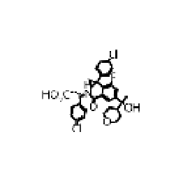 CC(O)(c1cc(F)c(C2(c3ccc(Cl)cc3)CC2)c(C(=O)N[C@@H](CC(=O)O)c2ccc(Cl)cc2)c1)C1CCOCC1